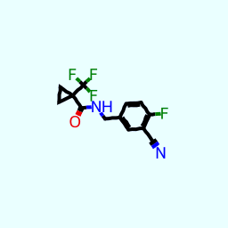 N#Cc1cc(CNC(=O)C2(C(F)(F)F)CC2)ccc1F